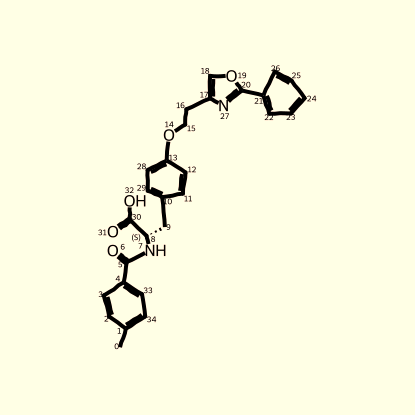 Cc1ccc(C(=O)N[C@@H](Cc2ccc(OCCc3coc(-c4ccccc4)n3)cc2)C(=O)O)cc1